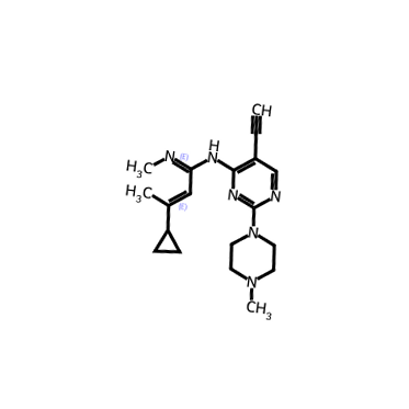 C#Cc1cnc(N2CCN(C)CC2)nc1NC(/C=C(\C)C1CC1)=N/C